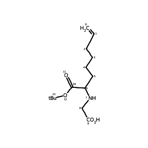 C=CCCCCC(NCC(=O)O)C(=O)OC(C)(C)C